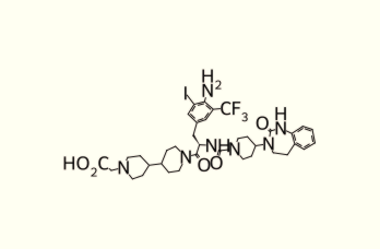 Nc1c(I)cc(C[C@@H](NC(=O)N2CCC(N3CCc4ccccc4NC3=O)CC2)C(=O)N2CCC(C3CCN(CC(=O)O)CC3)CC2)cc1C(F)(F)F